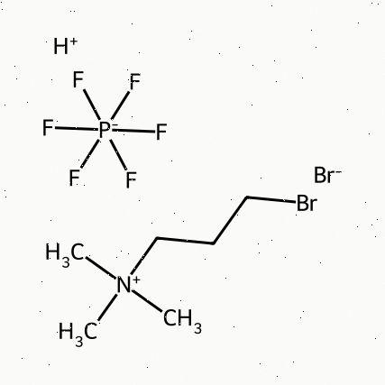 C[N+](C)(C)CCCBr.F[P-](F)(F)(F)(F)F.[Br-].[H+]